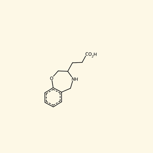 O=C(O)CCC1COc2ccccc2CN1